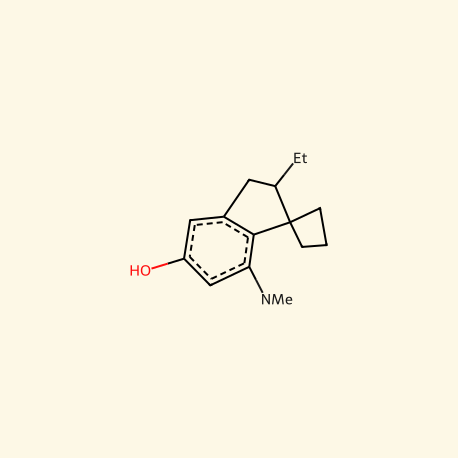 CCC1Cc2cc(O)cc(NC)c2C12CCC2